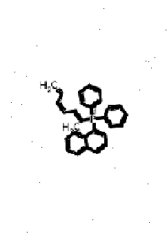 C=C/C=C\C=C(/C)[PH](c1ccccc1)(c1ccccc1)c1cccc2ccccc12